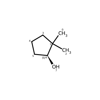 CC1(C)CCC[C@@H]1O